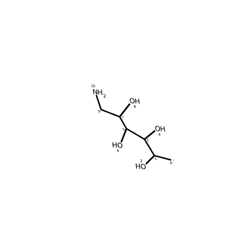 [CH2]C(O)C(O)C(O)C(O)CN